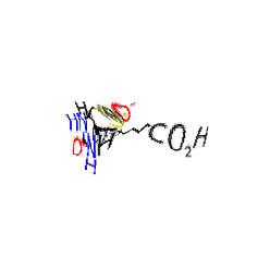 O=C(O)CCCC[C@H]1[C@H]2NC(=O)N[C@H]2C[S@+]1[O-]